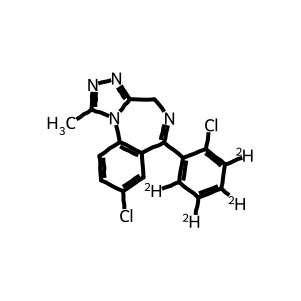 [2H]c1c([2H])c([2H])c(C2=NCc3nnc(C)n3-c3ccc(Cl)cc32)c(Cl)c1[2H]